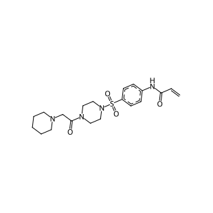 C=CC(=O)Nc1ccc(S(=O)(=O)N2CCN(C(=O)CN3CCCCC3)CC2)cc1